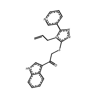 C=CCn1c(SCC(=O)c2c[nH]c3ccccc23)nnc1-c1cccnc1